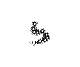 O=[N+]([O-])c1ccc(-c2ccc3ccc4ccc(-c5cccc(-c6ccc7ccc8ccc(-c9ccccc9)nc8c7n6)c5)nc4c3n2)cc1